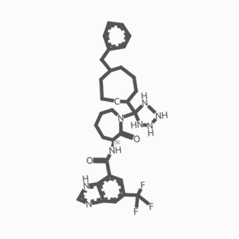 O=C(N[C@H]1CCCCN(C2(C3CCCC(Cc4ccccc4)CCC3)NNNN2)C1=O)c1cc(C(F)(F)F)cc2nc[nH]c12